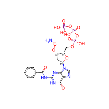 NOO[C@H]1C[C@H](n2cnc3c(=O)[nH]c(NC(=O)c4ccccc4)nc32)O[C@@H]1COP(=O)(O)OP(=O)(O)OP(=O)(O)O